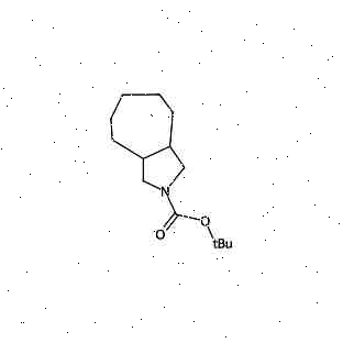 CC(C)(C)OC(=O)N1CC2CCCCCC2C1